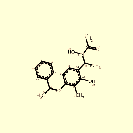 Cc1c(OC(C)c2ccccc2)ccc(C(C)N(O)C(N)=O)c1O